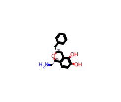 NC[C@@H]1O[C@H](Cc2ccccc2)Cc2c1ccc(O)c2O